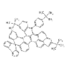 CC(C)(C)c1ccc(N2c3ccc(C(C)(C)C)cc3B3c4c(c5ccc6cc(C(C)(C)C)cc7ccc(c42)c5c67)-c2cccc4c2N3c2ccccc2C42c3ccccc3-c3ccccc32)cc1